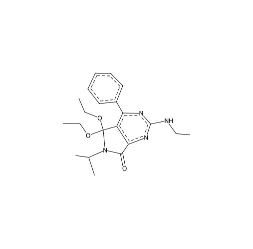 CCNc1nc2c(c(-c3ccccc3)n1)C(OCC)(OCC)N(C(C)C)C2=O